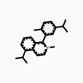 Cc1ccc(C(C)C)cc1-c1c2cccc(C(C)C)c2cc[n+]1C